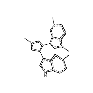 Cc1ccc2[nH]cc(-c3cn(C)cc3-c3cn(C)c4ccc(C)cc34)c2c1